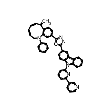 C=C1/C=C\C=C/CN(c2ccccc2)c2cc(-c3nnc(-c4ccc5c(c4)c4ccccc4n5-c4cccc(-c5cccnc5)n4)o3)ccc21